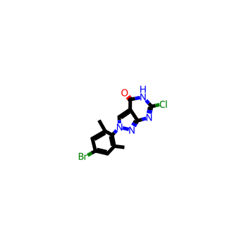 Cc1cc(Br)cc(C)c1-n1cc2c(=O)[nH]c(Cl)nc2n1